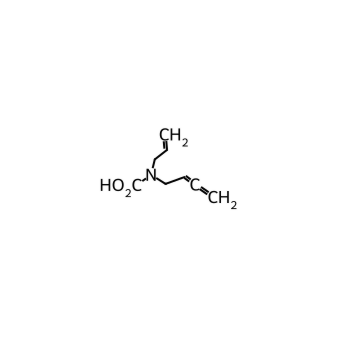 C=C=CCN(CC=C)C(=O)O